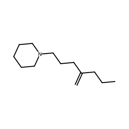 C=C(CCC)CCCN1CCCCC1